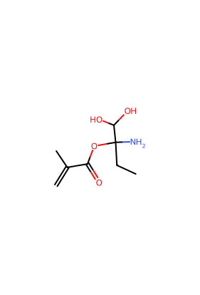 C=C(C)C(=O)OC(N)(CC)C(O)O